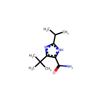 CC(C)c1nc(C(C)(C)C)c(C(N)=O)[nH]1